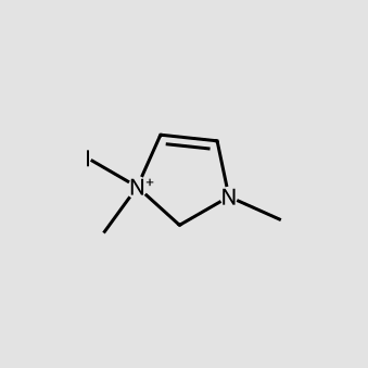 CN1C=C[N+](C)(I)C1